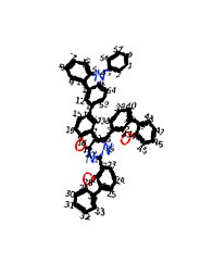 c1ccc(-n2c3ccccc3c3cc(-c4ccc5oc6nc(-c7cccc8c7oc7ccccc78)nc(-c7cccc8c7oc7ccccc78)c6c5c4)ccc32)cc1